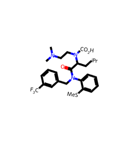 CSc1ccccc1N(Cc1cccc(C(F)(F)F)c1)C(=O)C(CC(C)C)N(CCN(C)C)C(=O)O